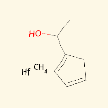 C.CC(O)C1=CC=CC1.[Hf]